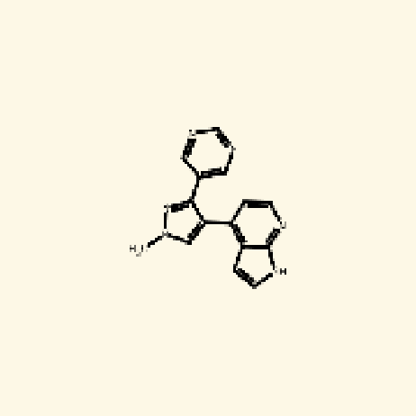 Cn1cc(-c2ccnc3[nH]ccc23)c(-c2cncnc2)n1